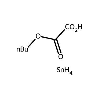 CCCCOC(=O)C(=O)O.[SnH4]